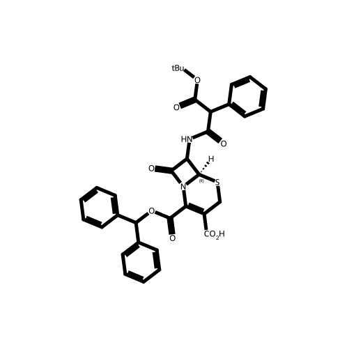 CC(C)(C)OC(=O)C(C(=O)NC1C(=O)N2C(C(=O)OC(c3ccccc3)c3ccccc3)=C(C(=O)O)CS[C@H]12)c1ccccc1